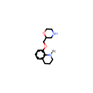 CC(=O)N1CCCc2cccc(OCC3CNCCO3)c21